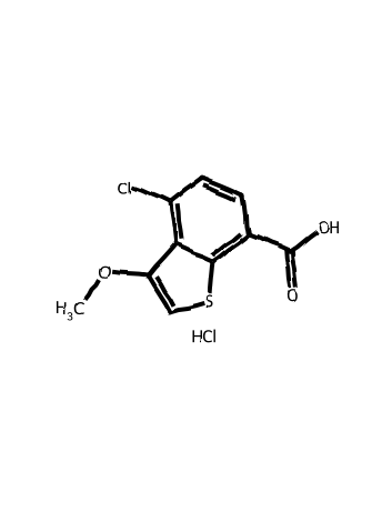 COc1csc2c(C(=O)O)ccc(Cl)c12.Cl